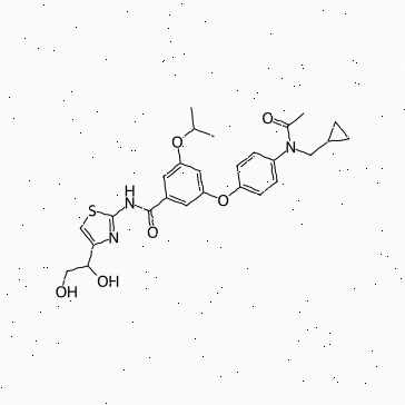 CC(=O)N(CC1CC1)c1ccc(Oc2cc(OC(C)C)cc(C(=O)Nc3nc(C(O)CO)cs3)c2)cc1